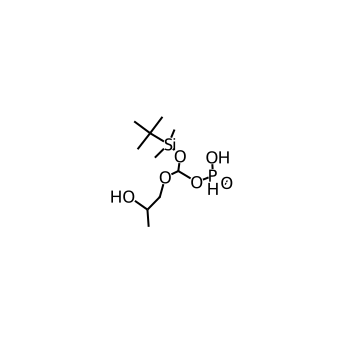 CC(O)COC(O[PH](=O)O)O[Si](C)(C)C(C)(C)C